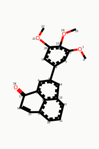 COc1cc(-c2cc3c4c(cccc4c2)C=CC3=O)cc(OC)c1OC